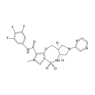 Cn1cc2c(c1C(=O)Nc1cc(F)c(F)c(F)c1)OC[C@H]1CN(c3cnccn3)C[C@H]1NS2(=O)=O